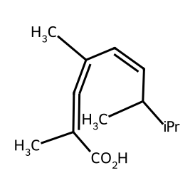 CC(=C=C(C)C(=O)O)/C=C\C(C)C(C)C